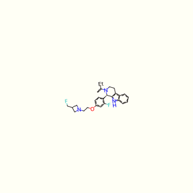 C=C(CC)N1CCc2c([nH]c3ccccc23)[C@H]1c1ccc(OCCN2CC(CF)C2)cc1F